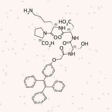 NCCCC[C@H](NC(=O)[C@H](CC(=O)O)NC(=O)[C@H](CO)NC(=O)COc1ccc(C(=C(c2ccccc2)c2ccccc2)c2ccccc2)cc1)C(=O)N1CCC[C@H]1C(=O)O